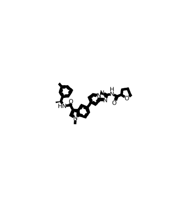 Cc1cccc([C@H](C)NC(=O)c2cn(C)c3ccc(-c4ccn5nc(NC(=O)C6CCCO6)nc5c4)cc23)c1